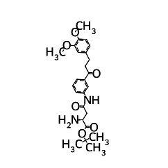 COc1ccc(CCC(=O)c2cccc(NC(=O)C[C@H](N)C(=O)OC(C)(C)C)c2)cc1OC